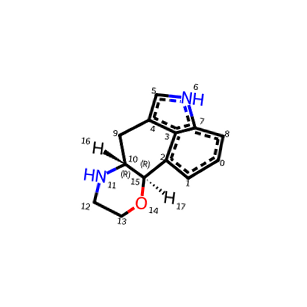 c1cc2c3c(c[nH]c3c1)C[C@H]1NCCO[C@H]21